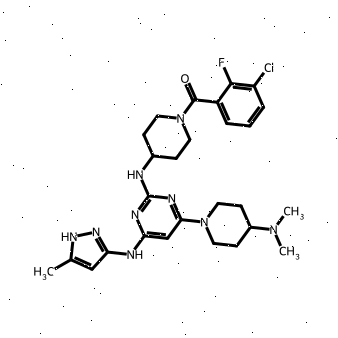 Cc1cc(Nc2cc(N3CCC(N(C)C)CC3)nc(NC3CCN(C(=O)c4cccc(Cl)c4F)CC3)n2)n[nH]1